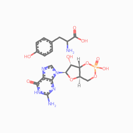 NC(Cc1ccc(O)cc1)C(=O)O.Nc1nc2c(ncn2[C@@H]2O[C@@H]3COP(=O)(O)O[C@H]3[C@H]2O)c(=O)[nH]1